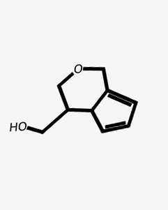 OCC1COCC2=CC=CC21